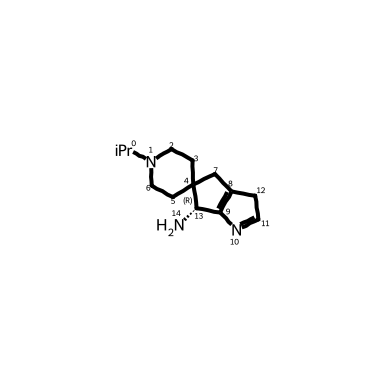 CC(C)N1CCC2(CC1)CC1=C(N=CC1)[C@@H]2N